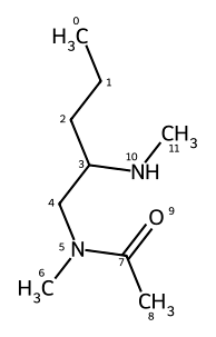 CCCC(CN(C)C(C)=O)NC